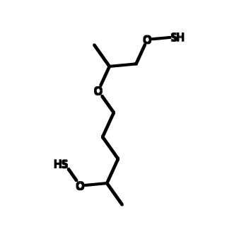 CC(CCCOC(C)COS)OS